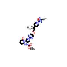 CC(C)c1noc(N2CCC([C@H](C)CCOc3cnc(N4C[C@H](NC(=O)OC(C)(C)C)[C@@H](N5CCCCC5=O)C4)nc3)CC2)n1